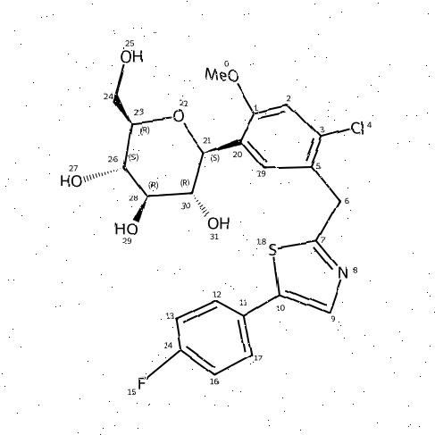 COc1cc(Cl)c(Cc2ncc(-c3ccc(F)cc3)s2)cc1[C@@H]1O[C@H](CO)[C@@H](O)[C@H](O)[C@H]1O